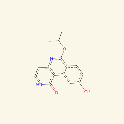 CC(C)Oc1nc2cc[nH]c(=O)c2c2cc(O)ccc12